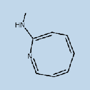 CNC1=CC=CC=CC=N1